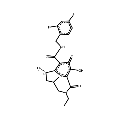 CCN1CC2C[C@H](N)c3c(C(=O)NCc4ccc(F)cc4F)c(=O)c(O)c(n32)C1=O